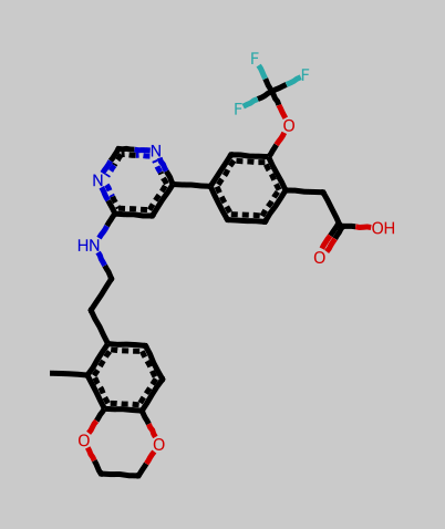 Cc1c(CCNc2cc(-c3ccc(CC(=O)O)c(OC(F)(F)F)c3)ncn2)ccc2c1OCCO2